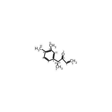 C=CC(=O)[C@@H](C)c1ccc(C)c(C)c1